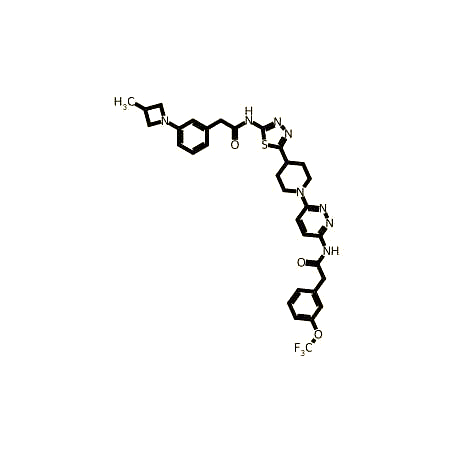 CC1CN(c2cccc(CC(=O)Nc3nnc(C4CCN(c5ccc(NC(=O)Cc6cccc(OC(F)(F)F)c6)nn5)CC4)s3)c2)C1